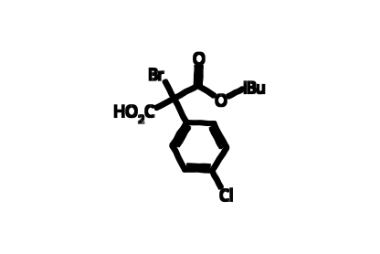 CCC(C)OC(=O)C(Br)(C(=O)O)c1ccc(Cl)cc1